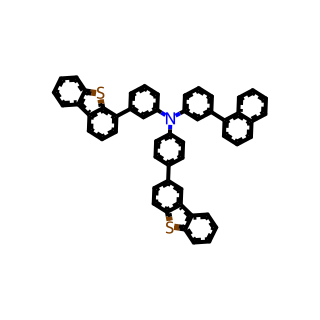 c1cc(-c2cccc3ccccc23)cc(N(c2ccc(-c3ccc4sc5ccccc5c4c3)cc2)c2cccc(-c3cccc4c3sc3ccccc34)c2)c1